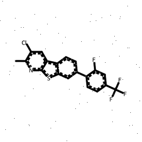 Cc1nc2sc3cc(-c4ccc(C(F)(F)F)cc4F)ccc3c2cc1Cl